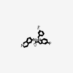 O=C(Nc1ccc2cnccc2c1)c1cc2cc(F)ccc2n1Cc1cccc(F)c1